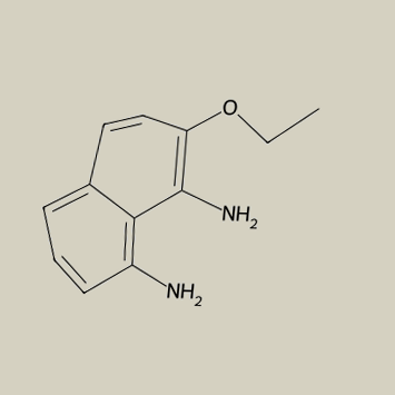 CCOc1ccc2cccc(N)c2c1N